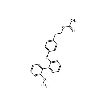 COc1ncccc1-c1cccnc1Oc1ccc(CCOC(C)=O)cc1